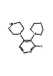 Oc1nncc(N2CCNCC2)c1N1CCNCC1